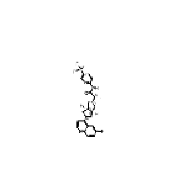 C[C@@H](C(=O)Nc1ccc(C(F)(F)F)cn1)[C@H]1C[C@H]2C[C@@H](c3ccnc4ccc(F)cc34)C[C@H]2C1